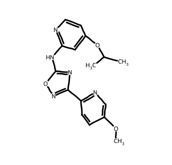 COc1ccc(-c2noc(Nc3cc(OC(C)C)ccn3)n2)nc1